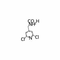 O=C(O)NCc1cc(Cl)nc(Cl)c1